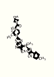 CCc1nc2sc(N3CCN(CC(=O)N4CC(O)C4)C(C)(C)C3)nn2c1N(C)c1nc(-c2ccc(C)cc2)c(C#N)s1